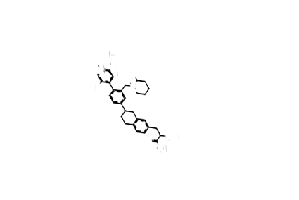 Cc1cc(-c2ccc(C3CCc4ccc(CC(C)C(=O)O)cc4C3)cc2CN2CCCCC2C)c(F)cn1